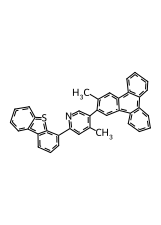 Cc1cc(-c2cccc3c2sc2ccccc23)ncc1-c1cc2c3ccccc3c3ccccc3c2cc1C